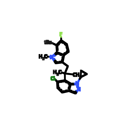 Cn1cc(CC(C)(C)c2c(Cl)ccc3cnn(C4CC4)c23)c2ccc(F)c(C(C)(C)C)c21